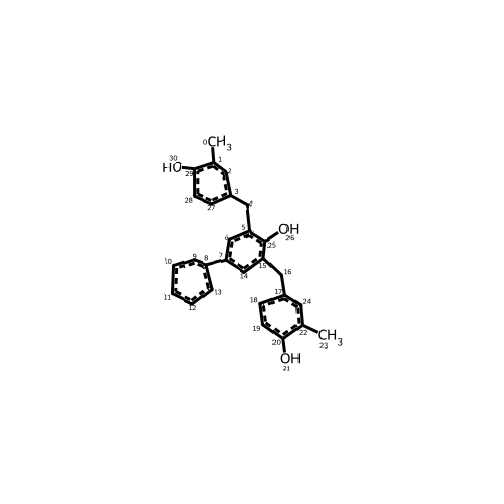 Cc1cc(Cc2cc(-c3ccccc3)cc(Cc3ccc(O)c(C)c3)c2O)ccc1O